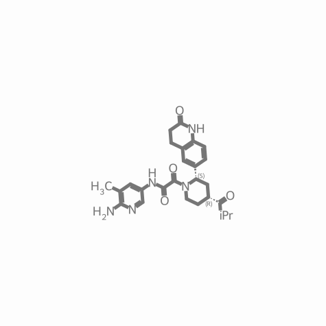 Cc1cc(NC(=O)C(=O)N2CC[C@@H](C(=O)C(C)C)C[C@H]2c2ccc3c(c2)CCC(=O)N3)cnc1N